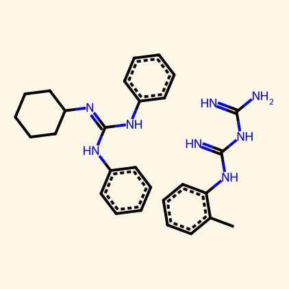 Cc1ccccc1NC(=N)NC(=N)N.c1ccc(NC(=NC2CCCCC2)Nc2ccccc2)cc1